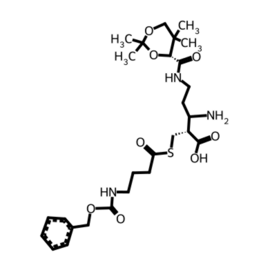 CC1(C)OCC(C)(C)[C@H](C(=O)NCCC(N)[C@@H](CSC(=O)CCCNC(=O)OCc2ccccc2)C(=O)O)O1